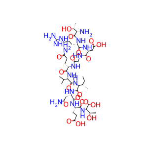 CC[C@H](C)[C@H](NC(=O)[C@@H](NC(=O)[C@H](CCC(N)=O)NC(=O)CNC(=O)[C@H](CC(=O)O)NC(=O)[C@H](CCCNC(=N)N)NC(=O)[C@@H](N)[C@@H](C)O)C(C)C)C(=O)N[C@@H](CC(N)=O)C(=O)N[C@@H](CCC(=O)O)C(=O)N[C@H](C(=O)O)[C@@H](C)O